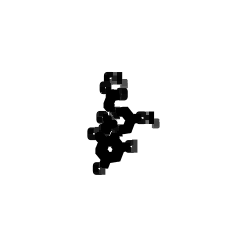 COC(=O)CN1CC(C)CN(c2c(Cl)cc(Cl)cc2Cl)S1(=O)=O